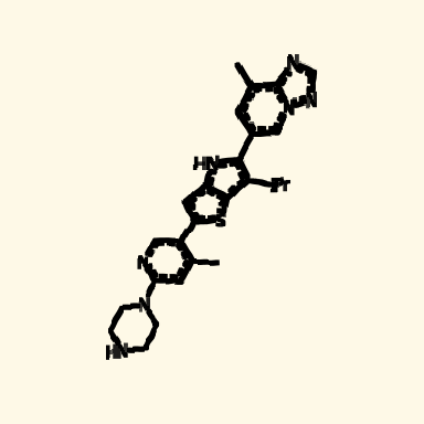 Cc1cc(N2CCNCC2)ncc1-c1cc2[nH]c(-c3cc(C)c4ncnn4c3)c(C(C)C)c2s1